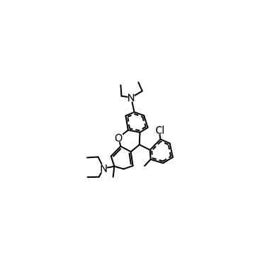 CCN(CC)c1ccc2c(c1)OC1=CC(C)(N(CC)CC)CC=C1C2c1c(C)cccc1Cl